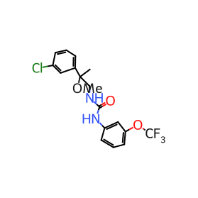 COC(C)(CNC(=O)Nc1cccc(OC(F)(F)F)c1)c1cccc(Cl)c1